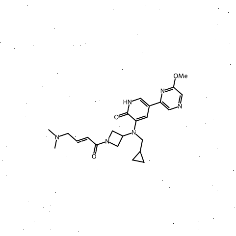 COc1cncc(-c2c[nH]c(=O)c(N(CC3CC3)C3CN(C(=O)/C=C/CN(C)C)C3)c2)n1